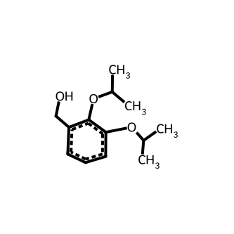 CC(C)Oc1cccc(CO)c1OC(C)C